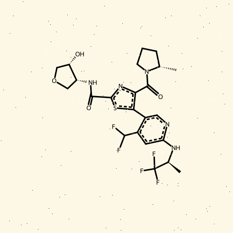 C[C@H](Nc1cc(C(F)F)c(-c2sc(C(=O)N[C@@H]3COC[C@@H]3O)nc2C(=O)N2CCC[C@@H]2C)cn1)C(F)(F)F